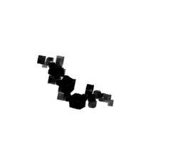 COC(=O)Nc1cccc(Nc2cncc(Nc3cc(C)[nH]n3)n2)c1